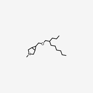 CCCCCCC(CCC)COCC1C2CN(C)CC12